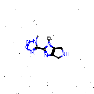 CCn1c(-c2nnnn2C)nc2c1CNC2